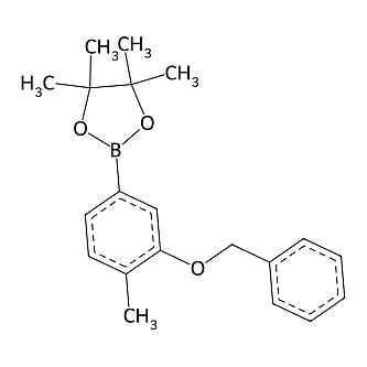 Cc1ccc(B2OC(C)(C)C(C)(C)O2)cc1OCc1ccccc1